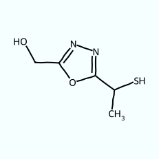 CC(S)c1nnc(CO)o1